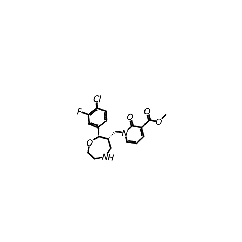 COC(=O)c1cccn(C[C@@H]2CNCCO[C@H]2c2ccc(Cl)c(F)c2)c1=O